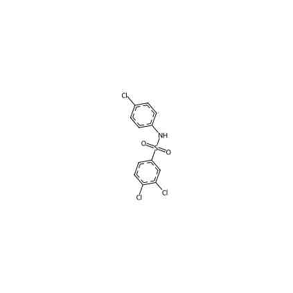 O=S(=O)(Nc1[c]cc(Cl)cc1)c1ccc(Cl)c(Cl)c1